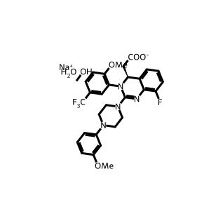 CO.COc1cccc(N2CCN(C3=Nc4c(F)cccc4[C@H](CC(=O)[O-])N3c3cc(C(F)(F)F)ccc3OC)CC2)c1.O.[Na+]